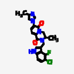 Cc1cn(-c2ccc3n(c2=O)C[C@@H](C)N(Cc2c[nH]c4ccc(Cl)c(F)c24)C3=O)cn1